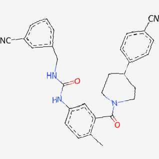 Cc1ccc(NC(=O)NCc2cccc(C#N)c2)cc1C(=O)N1CCC(c2ccc(C#N)cc2)CC1